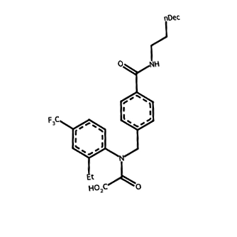 CCCCCCCCCCCCNC(=O)c1ccc(CN(C(=O)C(=O)O)c2ccc(C(F)(F)F)cc2CC)cc1